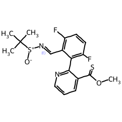 COC(=S)c1cccnc1-c1c(F)ccc(F)c1/C=N/[S+]([O-])C(C)(C)C